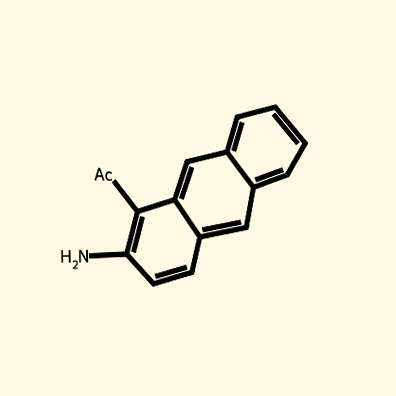 CC(=O)c1c(N)ccc2cc3ccccc3cc12